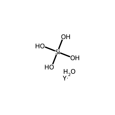 O.O[Si](O)(O)O.[Y]